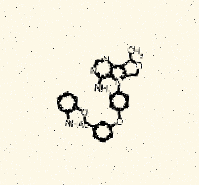 CC(=O)Nc1ccccc1OCc1cccc(Oc2ccc(-n3c4c(c5ncnc(N)c53)C(C)OC4)cc2)c1